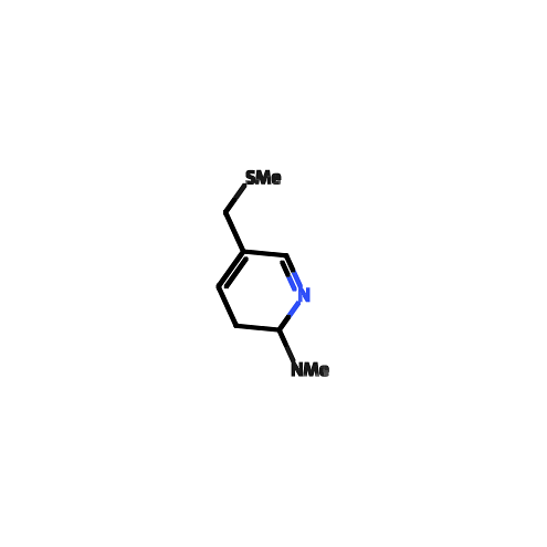 CNC1CC=C(CSC)C=N1